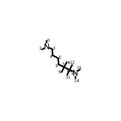 CN(C)CCCCC(C)(C)C(C)(C)N(C)C